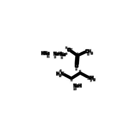 CC(=O)[O-].NCCN.[Na+].[NaH].[NaH].[NaH]